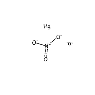 O=[N+]([O-])[O-].[Hg].[Tl+]